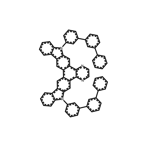 c1ccc(-c2cccc(-c3cccc(-n4c5ccccc5c5cc6c7cc8c9ccccc9n(-c9cccc(-c%10cccc(-c%11ccccc%11)c%10)c9)c8cc7c7nccnc7c6cc54)c3)c2)cc1